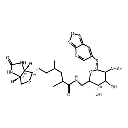 CC(=O)NC1C(O)[C@H](O)C(CNC(=O)C(C)CC(C)CC[C@@H]2SC[C@@H]3NC(=O)N[C@@H]32)O[C@H]1Sc1cnc2nonc2c1